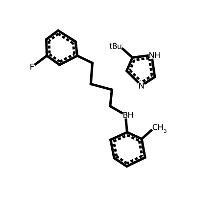 CC(C)(C)c1cnc[nH]1.Cc1ccccc1BCCCCc1cccc(F)c1